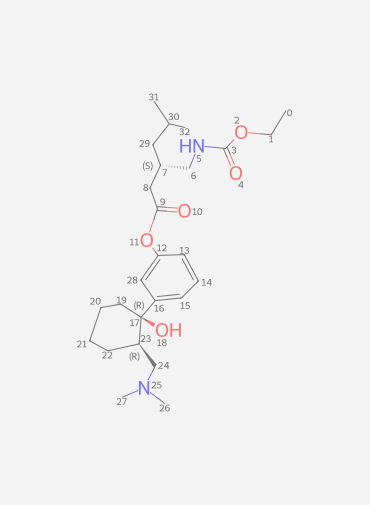 CCOC(=O)NC[C@H](CC(=O)Oc1cccc([C@@]2(O)CCCC[C@@H]2CN(C)C)c1)CC(C)C